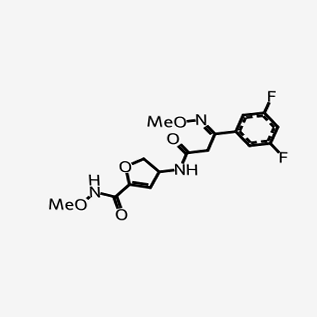 CO/N=C(\CC(=O)NC1C=C(C(=O)NOC)OC1)c1cc(F)cc(F)c1